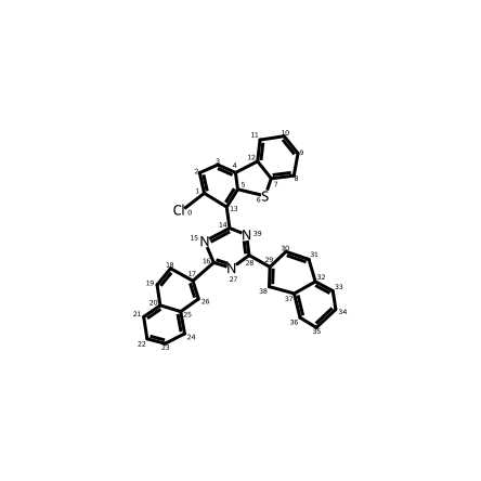 Clc1ccc2c(sc3ccccc32)c1-c1nc(-c2ccc3ccccc3c2)nc(-c2ccc3ccccc3c2)n1